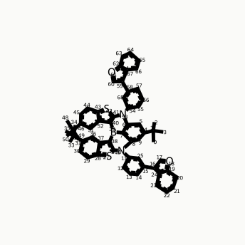 CC(C)(C)c1cc2c3c(c1)N(c1cccc(-c4coc5ccccc45)c1)c1sc4ccc(C(C)(C)C)cc4c1B3c1c(sc3ccc(C(C)(C)C)cc13)N2c1cccc(-c2coc3ccccc23)c1